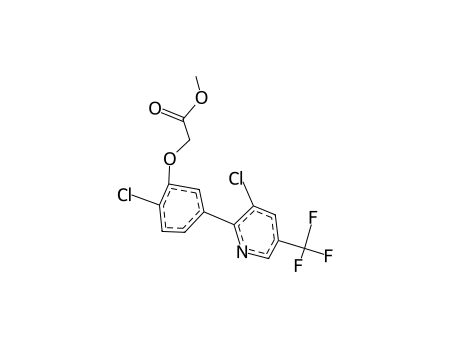 COC(=O)COc1cc(-c2ncc(C(F)(F)F)cc2Cl)ccc1Cl